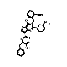 N#Cc1ccccc1Cn1c(N2CCCC(N)C2)nc2c(C(=O)NC(Cc3ccccc3)C(=O)O)csc2c1=O